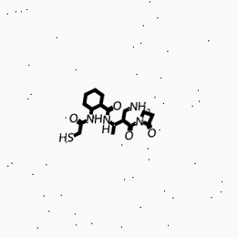 CC(NC(=O)C1CCCCC1NC(=O)CS)C(CN)C(=O)N1CCC1=O